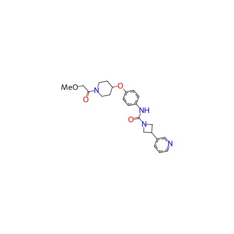 COCC(=O)N1CCC(Oc2ccc(NC(=O)N3CC(c4cccnc4)C3)cc2)CC1